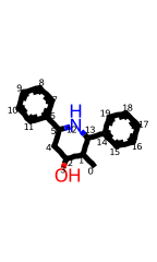 CC1C(O)CC(c2ccccc2)NC1c1ccccc1